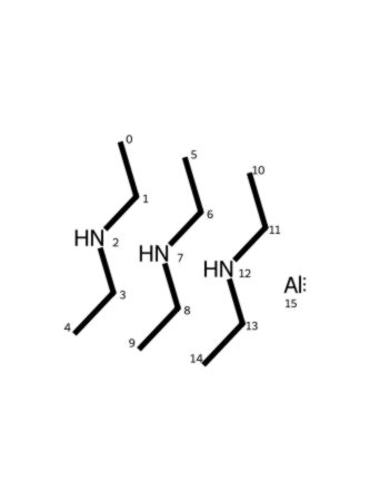 CCNCC.CCNCC.CCNCC.[Al]